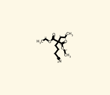 CCCC(CCCC#N)(C(=O)OCC)C(=O)OCC